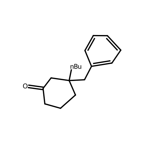 CCCCC1(Cc2ccccc2)CCCC(=O)C1